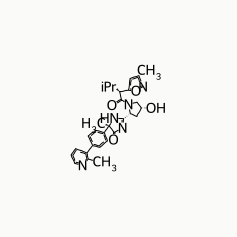 Cc1cc([C@@H](C(=O)N2C[C@H](O)C[C@@H]2C2=NC(=O)[C@](C)(c3ccc(-c4cccnc4C)cc3)N2)C(C)C)on1